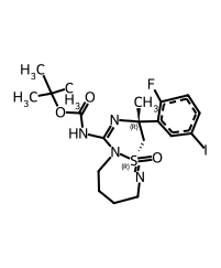 CC(C)(C)OC(=O)NC1=N[C@](C)(c2cc(I)ccc2F)C[S@]2(=O)=NCCCCN12